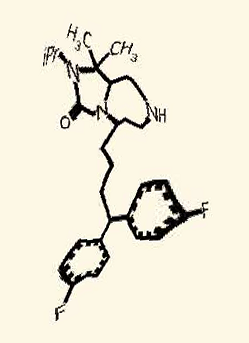 CC(C)N1C(=O)N2C(CCCC(c3ccc(F)cc3)c3ccc(F)cc3)CNCC2C1(C)C